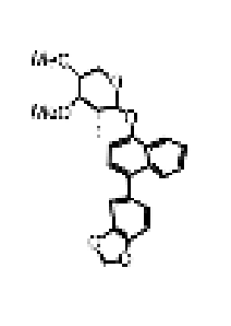 CO[C@H]1[C@H](OC)COC(Oc2ccc(-c3ccc4c(c3)OCO4)c3ccccc23)[C@@H]1C